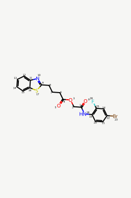 O=C(COC(=O)CCCc1nc2ccccc2s1)Nc1ccc(Br)cc1F